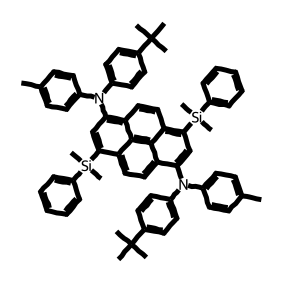 Cc1ccc(N(c2ccc(C(C)(C)C)cc2)c2cc([Si](C)(C)c3ccccc3)c3ccc4c(N(c5ccc(C)cc5)c5ccc(C(C)(C)C)cc5)cc([Si](C)(C)c5ccccc5)c5ccc2c3c45)cc1